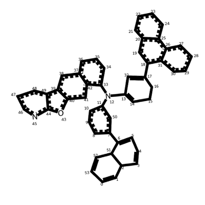 C1=CC2C=CC=C(c3cccc(N(C4=CCCC(c5cc6ccccc6c6ccccc56)=C4)c4cccc5cc6c(cc45)oc4ncccc46)c3)C2C=C1